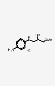 COCC(O)CNc1ccc(N)cc1.Cl